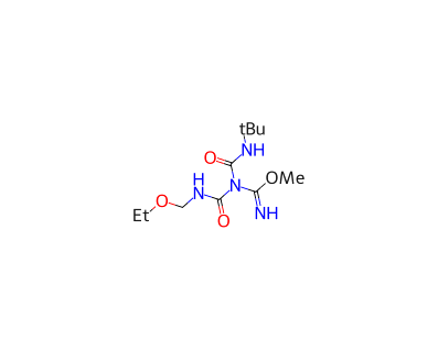 CCOCNC(=O)N(C(=N)OC)C(=O)NC(C)(C)C